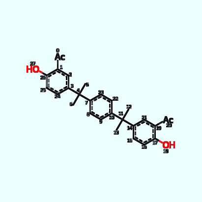 CC(=O)c1cc(C(C)(C)c2ccc(C(C)(C)c3ccc(O)c(C(C)=O)c3)cc2)ccc1O